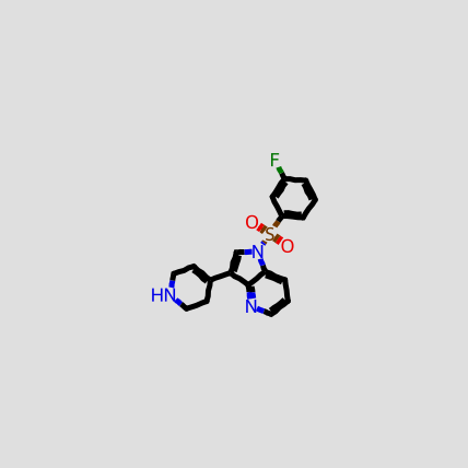 O=S(=O)(c1cccc(F)c1)n1cc(C2=CCNCC2)c2ncccc21